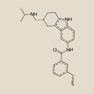 CC(C)NCC1CCc2[nH]c3ccc(NC(=O)c4cccc(C=S)c4)cc3c2C1